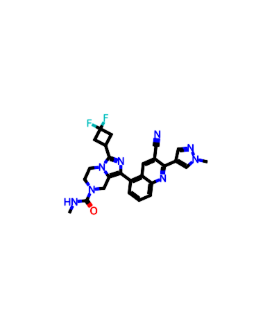 CNC(=O)N1CCn2c(C3CC(F)(F)C3)nc(-c3cccc4nc(-c5cnn(C)c5)c(C#N)cc34)c2C1